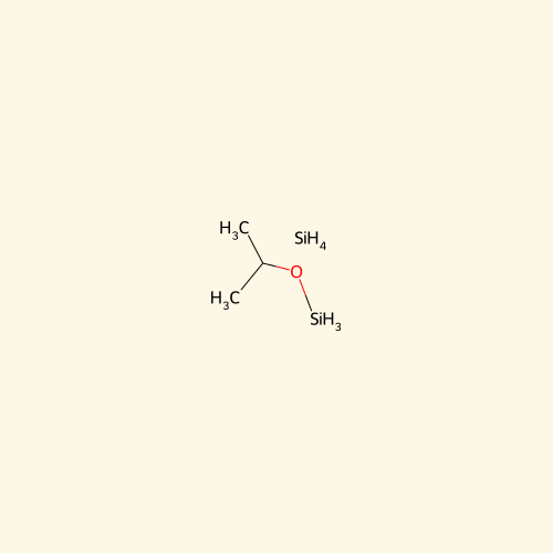 CC(C)O[SiH3].[SiH4]